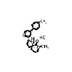 CN1CCC[C@]2(CC[C@@H](c3cc(-c4ccc(C(F)(F)F)cc4)ccn3)N2)C1=O.Cl